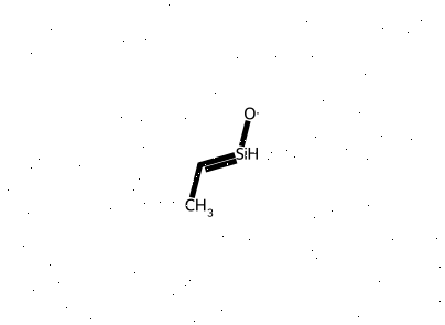 CC=[SiH][O]